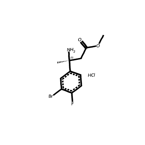 COC(=O)C[C@](C)(N)c1ccc(F)c(Br)c1.Cl